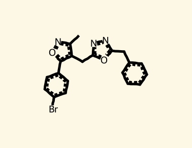 Cc1noc(-c2ccc(Br)cc2)c1Cc1nnc(Cc2ccccc2)o1